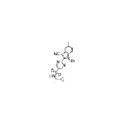 Cc1ccc2c(c1)c(C#N)c(-c1ncc(S(=O)(=O)N[C@@H](C)C3CC3)cn1)n2C(C)C